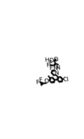 Cc1cc(-c2ccc(Cl)cc2-c2cccc(-n3ncc(C(=O)O)c3C(F)(F)F)n2)ccc1OCC1CC1(F)F